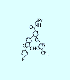 CC(C)CNC(=O)c1ccc(OCc2ccc(C(F)(F)F)cn2)c(-c2ccc3oc(-c4ccc(F)cc4)c(C=O)c3c2)c1